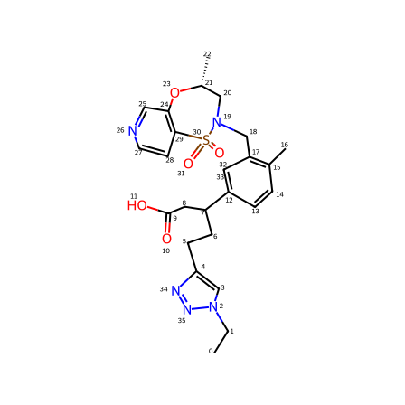 CCn1cc(CCC(CC(=O)O)c2ccc(C)c(CN3C[C@@H](C)Oc4cnccc4S3(=O)=O)c2)nn1